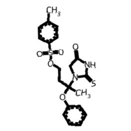 Cc1ccc(S(=O)(=O)OCCC(C)(Oc2ccccc2)N2CC(=O)NC2=S)cc1